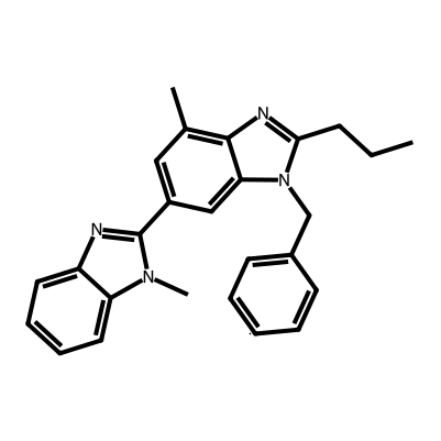 CCCc1nc2c(C)cc(-c3nc4ccccc4n3C)cc2n1Cc1cc[c]cc1